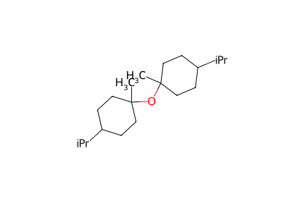 CC(C)C1CCC(C)(OC2(C)CCC(C(C)C)CC2)CC1